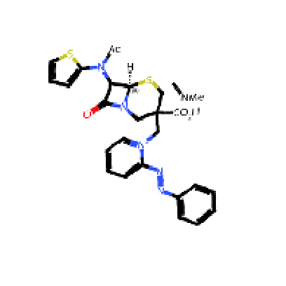 CC(=O)N(c1cccs1)C1C(=O)N2CC(C[n+]3ccccc3N=Nc3ccccc3)(C(=O)O)CS[C@H]12.CNC